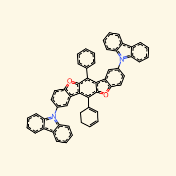 C1=CCCC(c2c3oc4ccc(-n5c6ccccc6c6ccccc65)cc4c3c(-c3ccccc3)c3oc4ccc(-n5c6ccccc6c6ccccc65)cc4c23)=C1